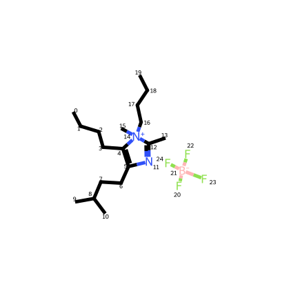 CCCCC1=C(CCC(C)C)N=C(C)[N+]1(C)CCCC.F[B-](F)(F)F